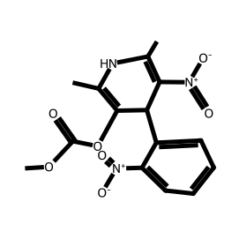 COC(=O)OC1=C(C)NC(C)=C([N+](=O)[O-])C1c1ccccc1[N+](=O)[O-]